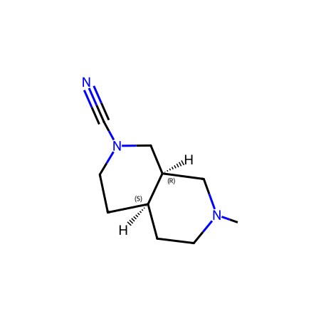 CN1CC[C@H]2CCN(C#N)C[C@H]2C1